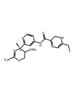 COC1CSC(N)=N[C@]1(C)c1cc(NC(=O)C2=NC=C(CF)NC2)ccn1